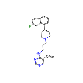 COc1cncnc1NCCCN1CC=C(c2cccc3ccc(F)cc23)CC1